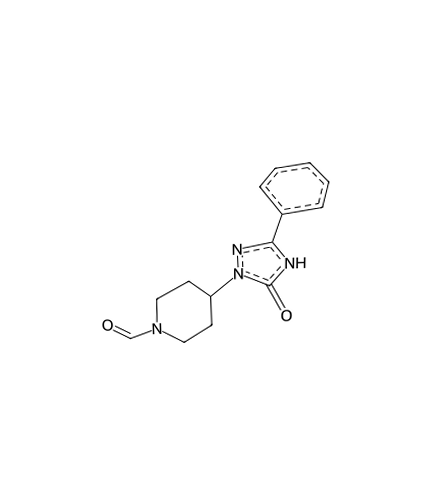 O=CN1CCC(n2nc(-c3ccccc3)[nH]c2=O)CC1